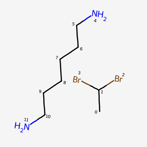 CC(Br)Br.NCCCCCCN